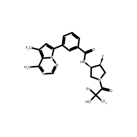 CCC(O)(C(=O)N1C[C@H](F)[C@H](NC(=O)c2cccc(-c3cc(C(F)(F)F)c4c(N)ncnn34)c2)C1)C(F)(F)F